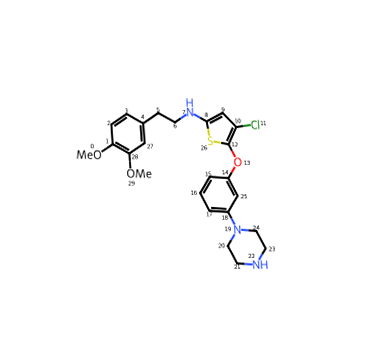 COc1ccc(CCNc2cc(Cl)c(Oc3cccc(N4CCNCC4)c3)s2)cc1OC